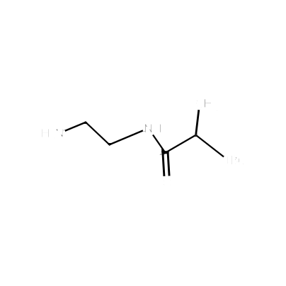 CC(C(=O)NCCN)C(C)(C)C